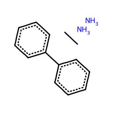 CC.N.N.c1ccc(-c2ccccc2)cc1